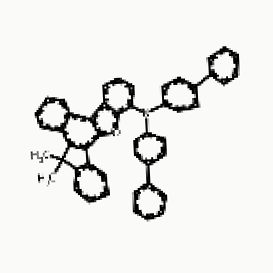 CC1(C)c2ccccc2-c2c1c1ccccc1c1c2oc2c(N(c3ccc(-c4ccccc4)cc3)c3ccc(-c4ccccc4)cc3)cccc21